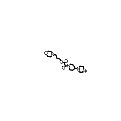 CN1CCN(C2CCN(C(=O)C(=O)OCCCN3CCOCC3)CC2)CC1